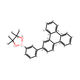 CC1(C)OB(c2cccc(-c3ccc4c5ccccc5c5ccccc5c4c3)c2)OC1(C)C